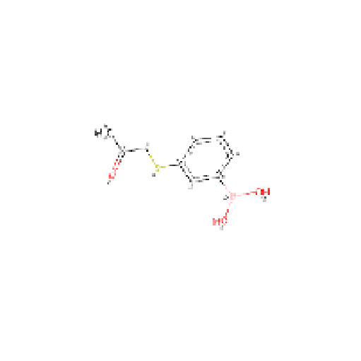 CC(=O)CSc1cccc(B(O)O)c1